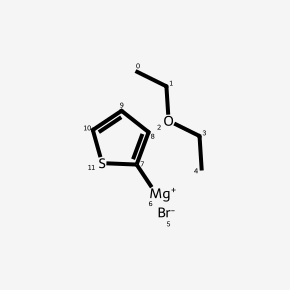 CCOCC.[Br-].[Mg+][c]1cccs1